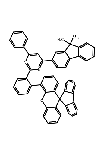 CC1(C)c2ccccc2-c2ccc(-c3cc(-c4ccccc4)nc(-c4ccccc4-c4cccc5c4Oc4ccccc4C54c5ccccc5-c5ccccc54)n3)cc21